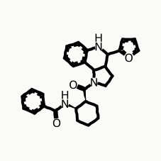 O=C(N[C@@H]1CCCC[C@@H]1C(=O)N1CCC2C(c3ccco3)Nc3ccccc3C21)c1ccccc1